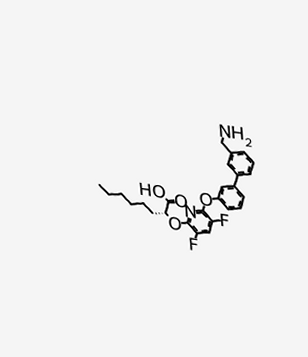 CCCCCC[C@@H](Oc1nc(Oc2cccc(-c3cccc(CN)c3)c2)c(F)cc1F)C(=O)O